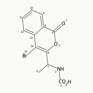 CC(NC(=O)O)c1oc(=O)c2ccccc2c1Br